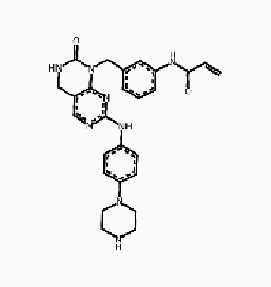 C=CC(=O)Nc1cccc(CN2C(=O)NCc3cnc(Nc4ccc(N5CCNCC5)cc4)nc32)c1